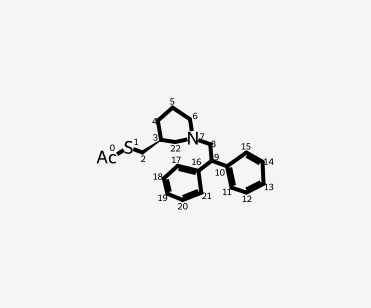 CC(=O)SC[C@H]1CCCN(CC(c2ccccc2)c2ccccc2)C1